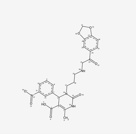 CC1=C(C(=O)O)C(c2cccc([N+](=O)[O-])c2)N(CCCNCC(=O)c2ccc3c(c2)OCO3)C(=O)N1